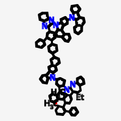 CCC1=C(C2=CC=C(C3=C(c4ccccc4)C=CCC3C)CC2C)C(N2c3ccc(-n4c5ccccc5c5cc6cc(-c7ccc(-c8ccc(-c9nc%10ccccc%10nc9-n9c%10ccc(-n%11c%12ccccc%12c%12ccc%13ccccc%13c%12%11)cc%10c%10c%11ccccc%11ccc%109)cc8-c8ccccc8)cc7)ccc6cc54)cc3C3=c4ccccc4=CCC32)=Nc2ccccc2C1